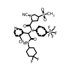 CS(=O)(=O)C1CC(C(=O)N(c2ccc(S(F)(F)(F)(F)F)cc2)C(C(=O)NC2CCC(F)(F)CC2)c2cnccc2C(F)(F)F)N(C#N)C1